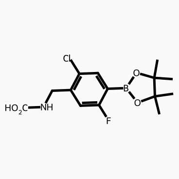 CC1(C)OB(c2cc(Cl)c(CNC(=O)O)cc2F)OC1(C)C